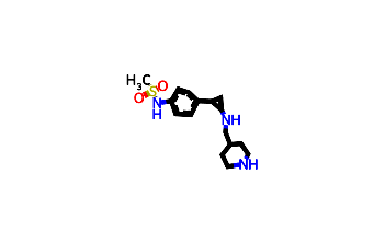 CS(=O)(=O)Nc1ccc(C2CC2NCC2CCNCC2)cc1